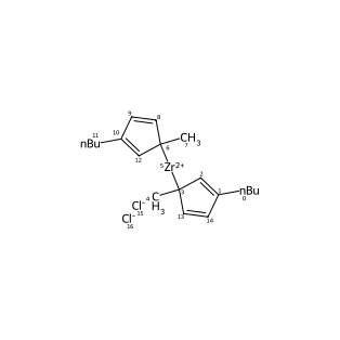 CCCCC1=C[C](C)([Zr+2][C]2(C)C=CC(CCCC)=C2)C=C1.[Cl-].[Cl-]